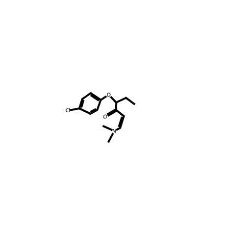 CCC(Oc1ccc(Cl)cc1)C(=O)/C=C\N(C)C